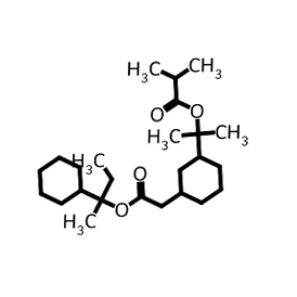 CCC(C)(OC(=O)CC1CCCC(C(C)(C)OC(=O)C(C)C)C1)C1CCCCC1